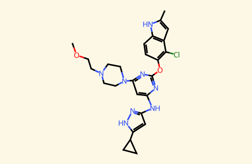 COCCN1CCN(c2cc(Nc3cc(C4CC4)[nH]n3)nc(Oc3ccc4[nH]c(C)cc4c3Cl)n2)CC1